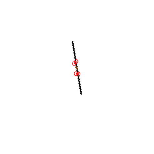 CCCCCCCCCCCCCCCCOC(=O)CCCSCCCC(=O)OCCCCCCCCCCCCCCCC